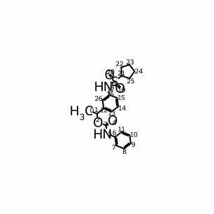 CC(OC(=O)Nc1ccccc1)c1cccc(NS(=O)(=O)C2CCCC2)c1